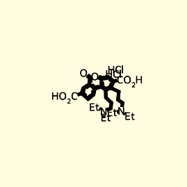 CCN(CC)CCCc1c(C(=O)O)cc2oc(=O)c3cc(C(=O)O)ccc3c2c1CCCN(CC)CC.Cl.Cl